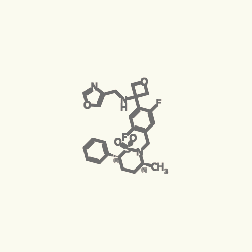 C[C@H]1CC[C@H](c2ccccc2)S(=O)(=O)N1Cc1cc(F)c(C2(NCc3cocn3)COC2)cc1F